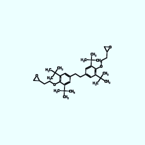 CC(C)(C)c1cc(CCc2cc(C(C)(C)C)c(OCCC3CO3)c(C(C)(C)C)c2)cc(C(C)(C)C)c1OCCC1CO1